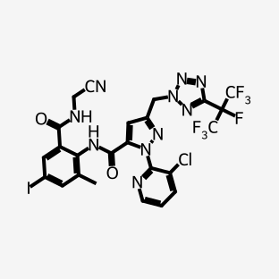 Cc1cc(I)cc(C(=O)NCC#N)c1NC(=O)c1cc(Cn2nnc(C(F)(C(F)(F)F)C(F)(F)F)n2)nn1-c1ncccc1Cl